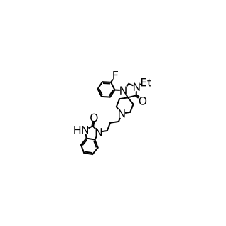 CCN1CN(c2ccccc2F)C2(CCN(CCCn3c(=O)[nH]c4ccccc43)CC2)C1=O